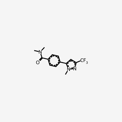 CN(C)C(=O)c1ccc(-c2cc(C(F)(F)F)nn2C)cc1